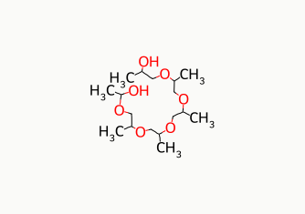 CC(O)COC(C)COC(C)COC(C)COC(C)COC(C)O